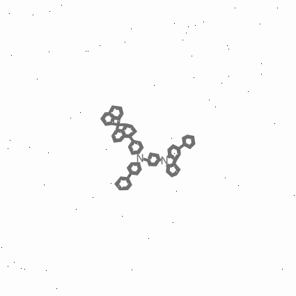 c1ccc(-c2ccc(N(c3ccc(-c4ccc5c6c(cccc46)C54c5cccc6cccc4c56)cc3)c3ccc(-n4c5ccccc5c5cc(-c6ccccc6)ccc54)cc3)cc2)cc1